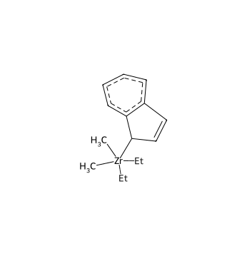 C[CH2][Zr]([CH3])([CH3])([CH2]C)[CH]1C=Cc2ccccc21